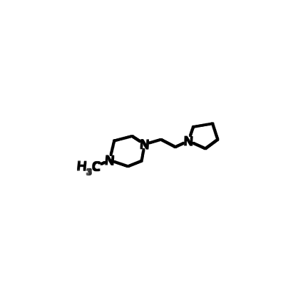 CN1CCN(CCN2CCCC2)CC1